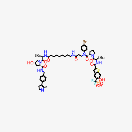 CC1=C(c2ccc(CNC(=O)[C@@H]3C[C@@H](O)CN3C(=O)C(NC(=O)CCCCCCCCNC(=O)CCN(C(=O)[C@@H]3CCCN3C(=O)C(NC(=O)c3cc4cc(C(F)(F)P(=O)(O)O)ccc4s3)C(C)(C)C)c3ccc(Br)cc3)C(C)(C)C)cc2)CC=N1